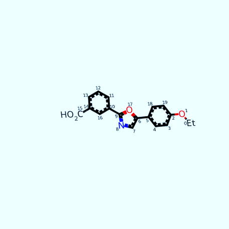 CCOc1ccc(-c2cnc(-c3cccc(C(=O)O)c3)o2)cc1